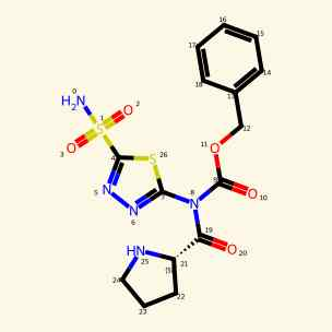 NS(=O)(=O)c1nnc(N(C(=O)OCc2ccccc2)C(=O)[C@@H]2CCCN2)s1